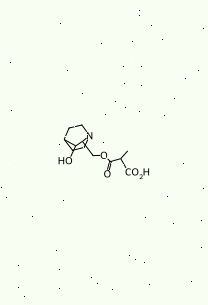 CC(C(=O)O)C(=O)OCC1C(O)C2CCN1CC2